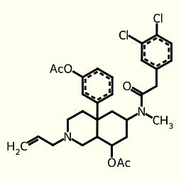 C=CCN1CCC2(c3cccc(OC(C)=O)c3)CC(N(C)C(=O)Cc3ccc(Cl)c(Cl)c3)CC(OC(C)=O)C2C1